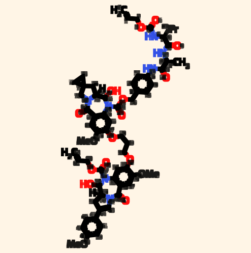 C=CCOC(=O)N[C@H](C(=O)N[C@@H](C)C(=O)Nc1ccc(COC(=O)N2c3cc(OCCCOc4cc5c(cc4OC)C(=O)N4C=C(c6ccc(OC)cc6)C[C@H]4C(O)N5C(=O)OCC=C)c(OC)cc3C(=O)N3CC4(CC4)C[C@H]3C2O)cc1)C(C)C